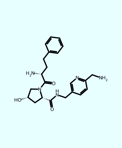 NCc1ccc(CNC(=O)[C@@H]2C[C@H](O)CN2C(=O)[C@H](N)CCc2ccccc2)cn1